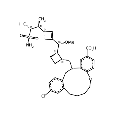 CO[C@@H](C1=C[C@@H]([C@H](C)[C@@H](C)S(N)(=O)=O)C1)[C@@H]1CC[C@H]1CN1Cc2ccc(Cl)cc2CCCCOc2ccc(C(=O)O)cc21